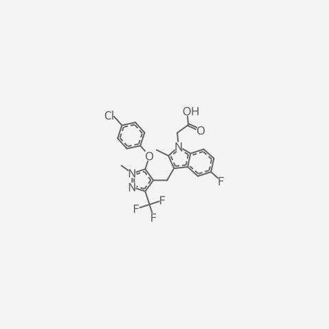 Cc1c(Cc2c(C(F)(F)F)nn(C)c2Oc2ccc(Cl)cc2)c2cc(F)ccc2n1CC(=O)O